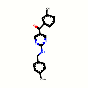 COc1ccc(CNc2ncc(C(=O)c3cccc(C#N)c3)cn2)cc1